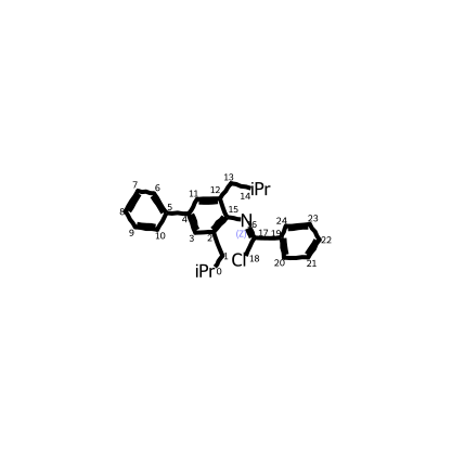 CC(C)Cc1cc(-c2ccccc2)cc(CC(C)C)c1/N=C(\Cl)c1ccccc1